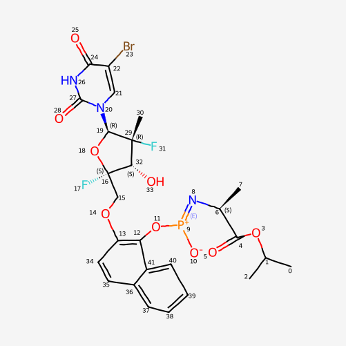 CC(C)OC(=O)[C@H](C)/N=[P+](\[O-])Oc1c(OC[C@@]2(F)O[C@@H](n3cc(Br)c(=O)[nH]c3=O)[C@](C)(F)[C@@H]2O)ccc2ccccc12